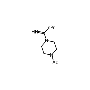 CCCC(=N)N1CCN(C(C)=O)CC1